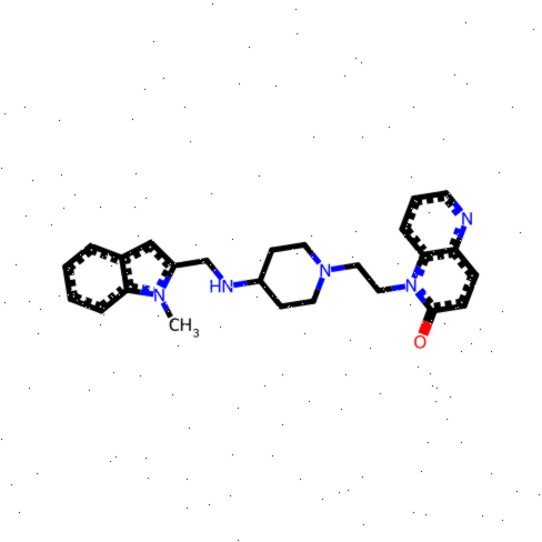 Cn1c(CNC2CCN(CCn3c(=O)ccc4ncccc43)CC2)cc2ccccc21